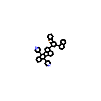 c1ccc2c(-c3cc(-c4ccc5c6c(cccc46)-c4c-5c(-c5ccncc5)c5ccccc5c4-c4ccncc4)c4sc5ccccc5c4c3)cccc2c1